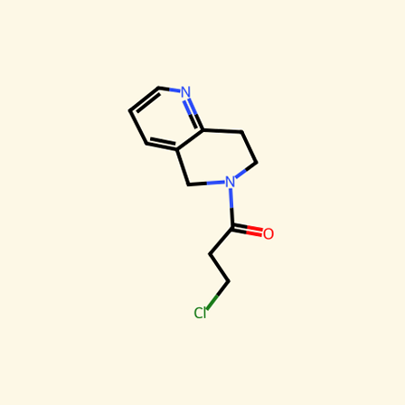 O=C(CCCl)N1CCc2ncccc2C1